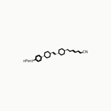 CCCCCc1ccc([C@H]2CC[C@H](C=C[C@H]3CC[C@H](CCC=CC=CC#N)CC3)CC2)cc1